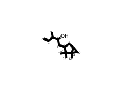 C=CC(C)C(O)CC1CC2CC2(C)C1(C)C